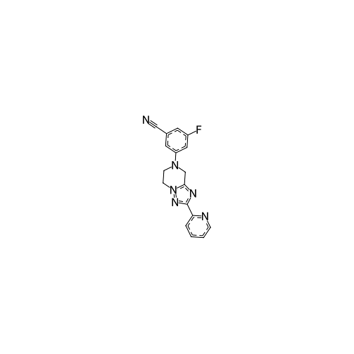 N#Cc1cc(F)cc(N2CCn3nc(-c4ccccn4)nc3C2)c1